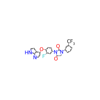 O=C1CN(c2cccc(C(F)(F)F)c2)C(=O)N1c1ccc(Oc2ccnc3[nH]ccc23)c(F)c1